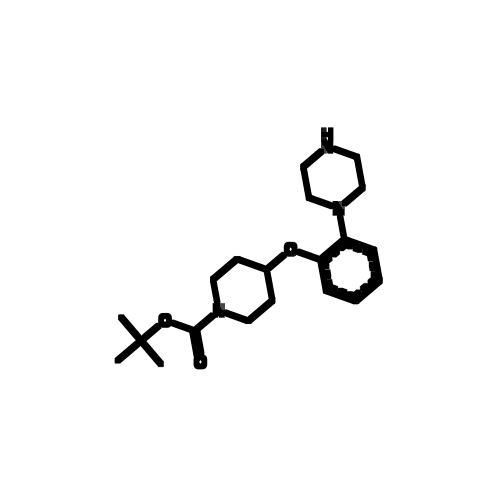 CC(C)(C)OC(=O)N1CCC(Oc2ccccc2N2CCNCC2)CC1